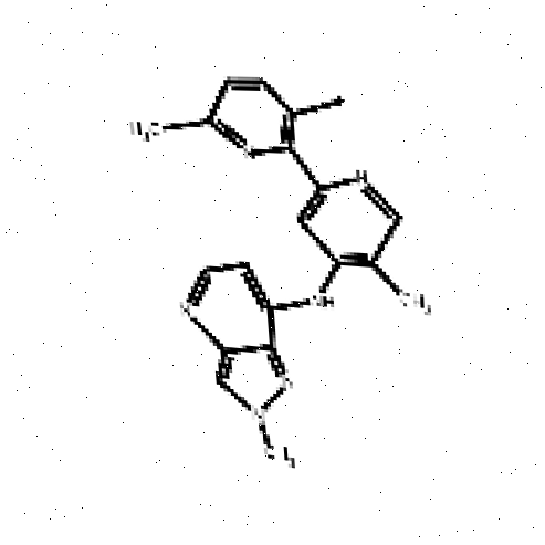 Cc1ccc(F)c(-c2cc(Nc3ccnc4cn(C)nc34)c(C)cn2)n1